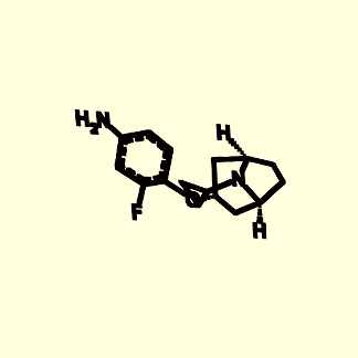 Nc1ccc(O[C@@H]2C[C@H]3CC[C@@H](C2)N3C2CC2)c(F)c1